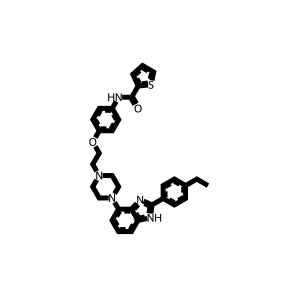 CCc1ccc(-c2nc3c(N4CCN(CCOc5ccc(NC(=O)c6cccs6)cc5)CC4)cccc3[nH]2)cc1